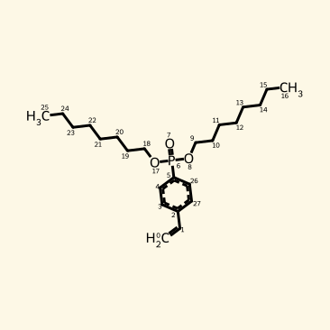 C=Cc1ccc(P(=O)(OCCCCCCCC)OCCCCCCCC)cc1